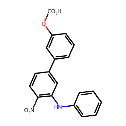 O=C(O)Oc1cccc(-c2ccc([N+](=O)[O-])c(Nc3ccccc3)c2)c1